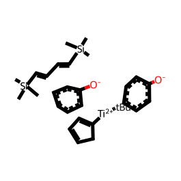 C[C](C)(C)[Ti+2][C]1=CC=CC1.C[Si](C)(C)C=CC=C[Si](C)(C)C.[O-]c1ccccc1.[O-]c1ccccc1